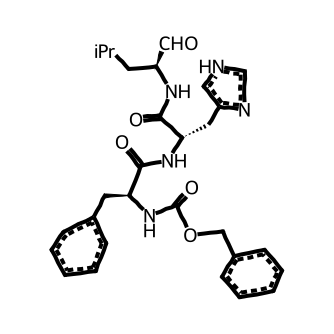 CC(C)C[C@@H](C=O)NC(=O)[C@H](Cc1c[nH]cn1)NC(=O)[C@H](Cc1ccccc1)NC(=O)OCc1ccccc1